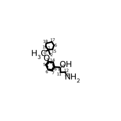 CC1(COc2cccc(C(O)CCN)c2)CCCCC1